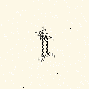 CC(C)CCCCCCCCC(C)(C)C(=O)O.CCCCCCCCCCCCCC(=O)OC(C)C